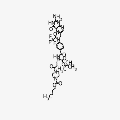 CCCCOC(=O)N1CCN(C(=O)CC[C@H](NC(=O)c2ccc(N(Cc3cnc4nc(N)[nH]c(=O)c4n3)C(=O)C(F)(F)F)cc2)C(=O)OC(C)(C)C)CC1